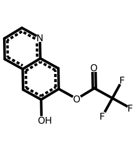 O=C(Oc1cc2ncccc2cc1O)C(F)(F)F